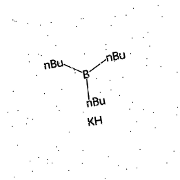 CCCCB(CCCC)CCCC.[KH]